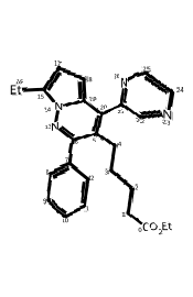 CCOC(=O)CCCCc1c(-c2ccccc2)nn2c(CC)ccc2c1-c1cnccn1